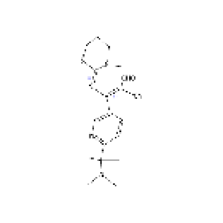 CN1CCCS/C1=N/C(=C(/C#N)C=O)c1ccc(C(C)(C)N(C)C)nc1